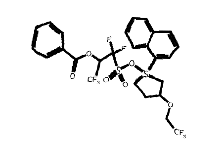 O=C(OC(C(F)(F)F)C(F)(F)S(=O)(=O)OS1(c2cccc3ccccc23)CCC(OCC(F)(F)F)C1)c1ccccc1